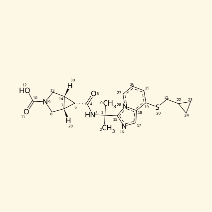 CC(C)(NC(=O)[C@@H]1[C@@H]2CN(C(=O)O)C[C@@H]21)c1ncc2c(SCC3CC3)cccn12